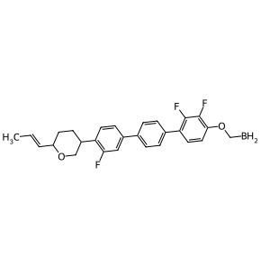 BCOc1ccc(-c2ccc(-c3ccc(C4CCC(/C=C/C)OC4)c(F)c3)cc2)c(F)c1F